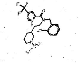 C[S+]([O-])N1CCCC(CCN(Cc2ccccc2Cl)C(=O)c2cc(C(F)(F)F)n[nH]2)C1